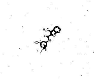 Cc1c(C(=O)NC2C[C@@]3(O)CC=C2[C@H](C)C3)oc2ccccc12